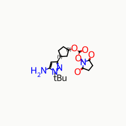 CC(C)(C)n1nc([C@H]2CC[C@@H](OC(=O)ON3C(=O)CCC3=O)C2)cc1N